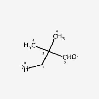 [2H]CC(C)(C)[C]=O